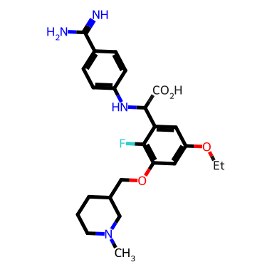 CCOc1cc(OCC2CCCN(C)C2)c(F)c(C(Nc2ccc(C(=N)N)cc2)C(=O)O)c1